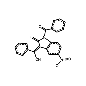 O=C1C(=C(O)c2ccccc2)c2cc([N+](=O)[O-])ccc2N1C(=O)c1ccccc1